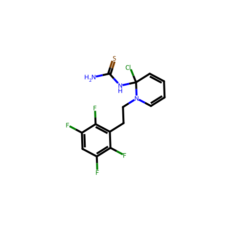 NC(=S)NC1(Cl)C=CC=CN1CCc1c(F)c(F)cc(F)c1F